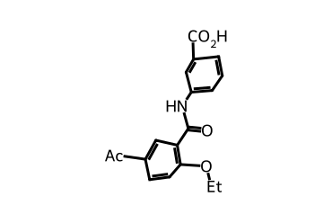 CCOc1ccc(C(C)=O)cc1C(=O)Nc1cccc(C(=O)O)c1